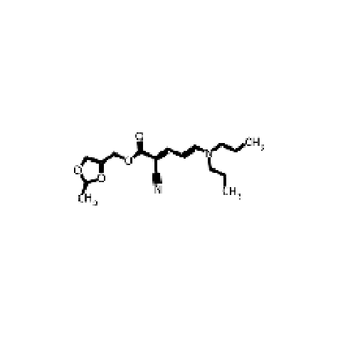 CCCN(/C=C/C=C(\C#N)C(=O)OCC1COC(C)O1)CCC